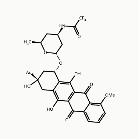 COc1cccc2c1C(=O)c1c(O)c3c(c(O)c1C2=O)C[C@@](O)(C(C)=O)C[C@@H]3O[C@H]1C[C@H](NC(=O)C(F)(F)F)C[C@H](C)O1